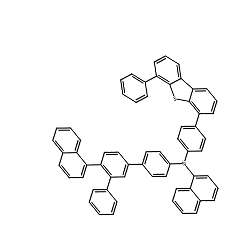 c1ccc(-c2cc(-c3ccc(N(c4ccc(-c5cccc6c5sc5c(-c7ccccc7)cccc56)cc4)c4cccc5ccccc45)cc3)ccc2-c2cccc3ccccc23)cc1